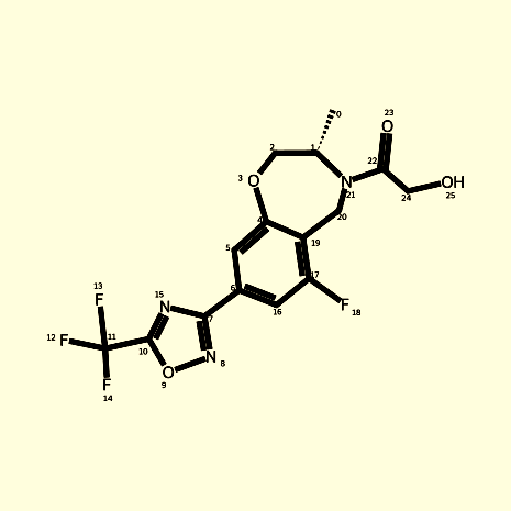 C[C@H]1COc2cc(-c3noc(C(F)(F)F)n3)cc(F)c2CN1C(=O)CO